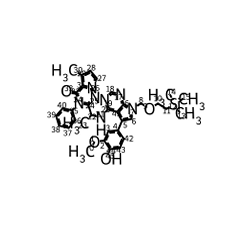 COc1cc(-c2cn(COCC[Si](C)(C)C)c3ncnc(NC(C)c4nn5ccc(C)c5c(=O)n4-c4ccccc4)c23)ccc1O